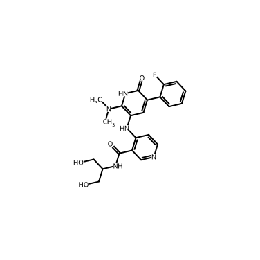 CN(C)c1[nH]c(=O)c(-c2ccccc2F)cc1Nc1ccncc1C(=O)NC(CO)CO